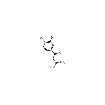 CN(C)CC(=O)c1ccc(Cl)c(Cl)c1